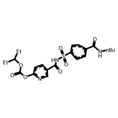 CCCCNC(=O)c1ccc(S(=O)(=O)NC(=O)c2ccc(OC(=O)OC(CC)CC)nc2)cc1